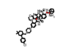 CC1(C)CCC(CN2CCN(c3ccc(C(=O)NS(=O)(=O)c4ccc(NCC5C6CC5CC(C)(N)C6)c([N+](=O)[O-])c4)c(N4CCOc5nc6[nH]ccc6cc54)c3)CC2)=C(c2ccc(Cl)cc2)C1